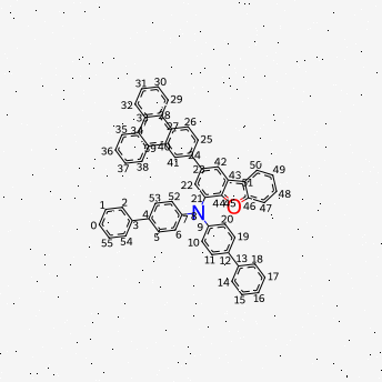 c1ccc(-c2ccc(N(c3ccc(-c4ccccc4)cc3)c3cc(-c4ccc5c6ccccc6c6ccccc6c5c4)cc4c3oc3ccccc34)cc2)cc1